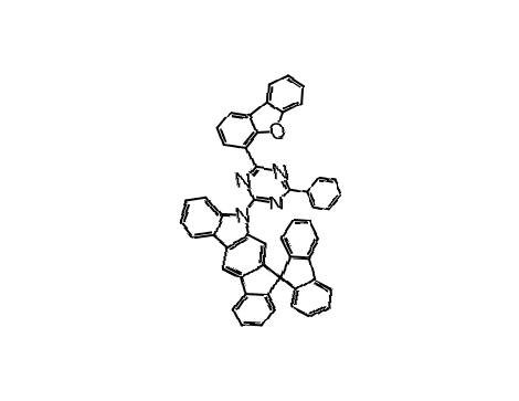 c1ccc(-c2nc(-c3cccc4c3oc3ccccc34)nc(-n3c4ccccc4c4cc5c(cc43)C3(c4ccccc4-c4ccccc43)c3ccccc3-5)n2)cc1